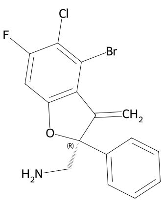 C=C1c2c(cc(F)c(Cl)c2Br)O[C@]1(CN)c1ccccc1